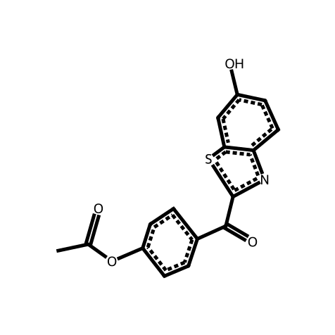 CC(=O)Oc1ccc(C(=O)c2nc3ccc(O)cc3s2)cc1